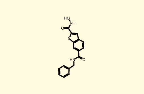 O=C(NCc1ccccc1)c1ccc2cc(C(=O)NO)sc2c1